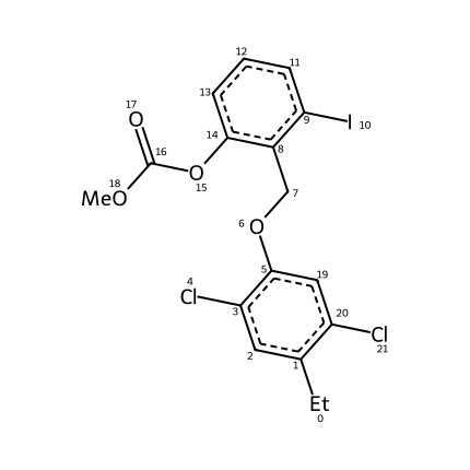 CCc1cc(Cl)c(OCc2c(I)cccc2OC(=O)OC)cc1Cl